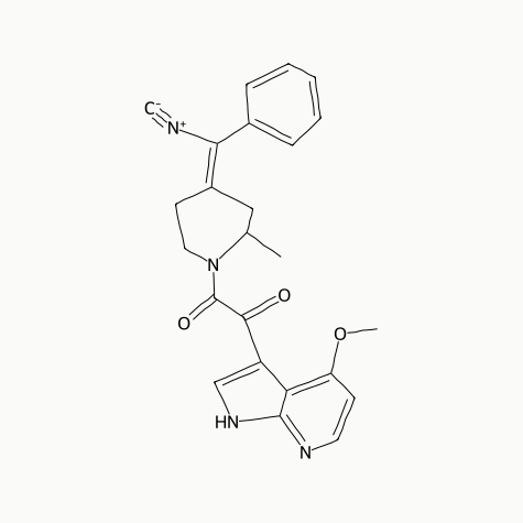 [C-]#[N+]C(=C1CCN(C(=O)C(=O)c2c[nH]c3nccc(OC)c23)C(C)C1)c1ccccc1